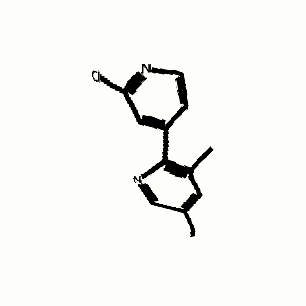 Cc1cnc(-c2ccnc(Cl)c2)c(C)c1